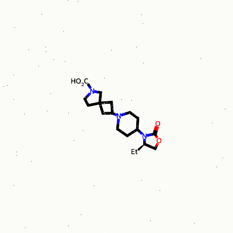 CC[C@@H]1COC(=O)N1C1CCN(C2CC3(CCN(C(=O)O)C3)C2)CC1